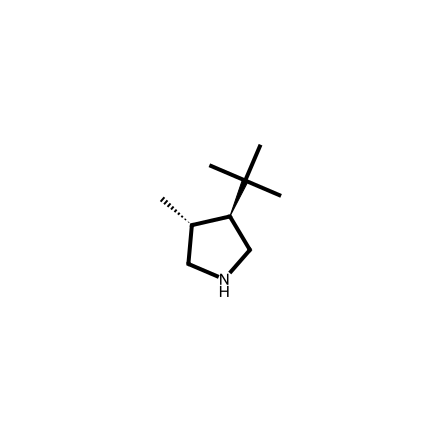 C[C@H]1CNC[C@@H]1C(C)(C)C